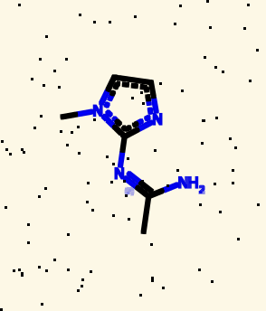 C/C(N)=N/c1nccn1C